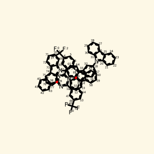 FC(F)(F)c1ccc(-n2c3ccccc3c3ccc(-n4c5ccccc5c5ccccc54)cc32)c(-c2nc(-c3ccccc3)nc(-c3cc(C(F)(F)F)ccc3-n3c4ccccc4c4ccc(-n5c6ccccc6c6ccccc65)cc43)n2)c1